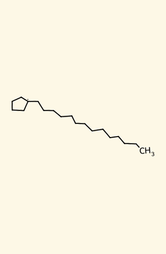 CCCCCCCCCCCCCC[C]1CCCC1